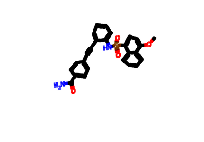 COc1ccc(S(=O)(=O)Nc2ccccc2C#Cc2ccc(C(N)=O)cc2)c2ccccc12